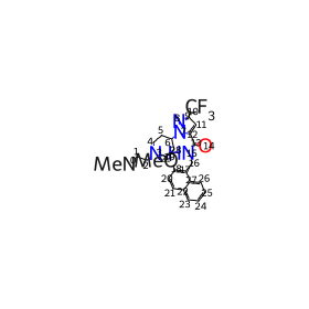 CNCCN1CCC(n2nc(C(F)(F)F)cc2C(=O)NCc2c(OC)ccc3ccccc23)CC1